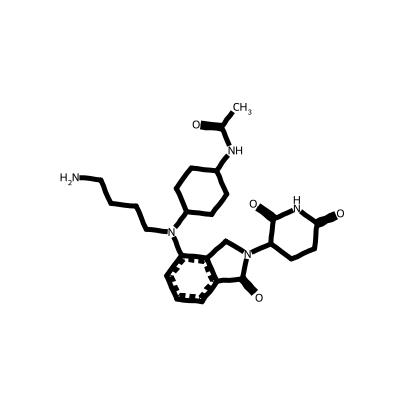 CC(=O)NC1CCC(N(CCCCN)c2cccc3c2CN(C2CCC(=O)NC2=O)C3=O)CC1